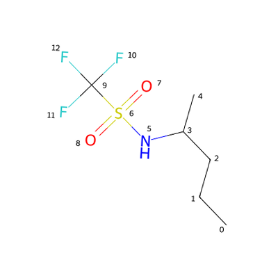 CCCC(C)NS(=O)(=O)C(F)(F)F